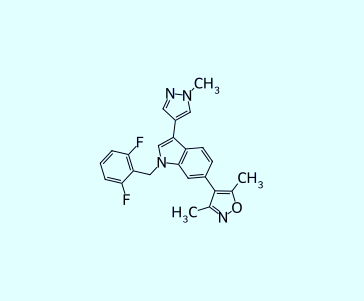 Cc1noc(C)c1-c1ccc2c(-c3cnn(C)c3)cn(Cc3c(F)cccc3F)c2c1